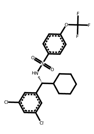 O=S(=O)(N[C@@H](c1cc(Cl)cc(Cl)c1)C1CCCCC1)c1ccc(OC(F)(F)F)cc1